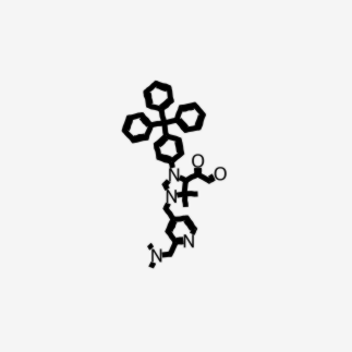 CN(C)Cc1cc(CN2CN(c3ccc(C(c4ccccc4)(c4ccccc4)c4ccccc4)cc3)C(C(=O)C=O)C2(C)C)ccn1